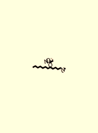 CC(=O)[O-].CCCCCCCCCCCCN(C)C.[Na+]